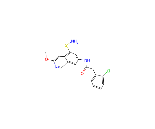 COc1cc2c(SN)cc(NC(=O)Cc3ccccc3Cl)cc2cn1